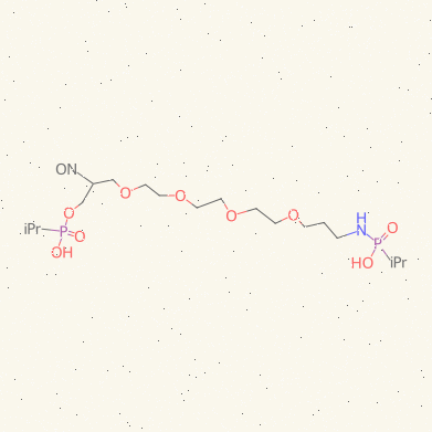 CC(C)P(=O)(O)NCCCOCCOCCOCCOCC(COP(=O)(O)C(C)C)N=O